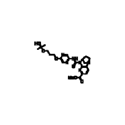 COC(=O)c1ccc2c(n1)N(C(=O)Nc1cnc(OCCCOC(C)(C)O)cn1)C1CCN2C1